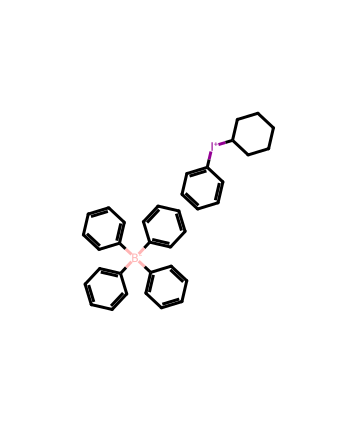 c1ccc([B-](c2ccccc2)(c2ccccc2)c2ccccc2)cc1.c1ccc([I+]C2CCCCC2)cc1